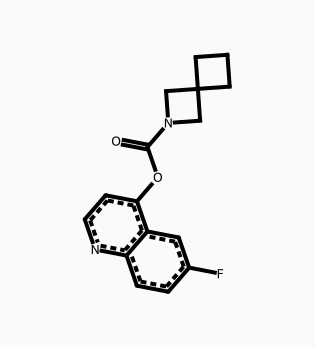 O=C(Oc1ccnc2ccc(F)cc12)N1CC2(CCC2)C1